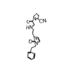 N#CC1CCCN1C(=O)CNCCn1ccn(CCc2ccccc2)c1=O